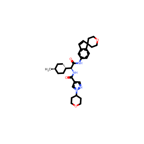 C[C@H]1CC[C@H]([C@H](NC(=O)c2cnn(C3CCOCC3)c2)C(=O)Nc2ccc3c(c2)C=CC32CCOCC2)CC1